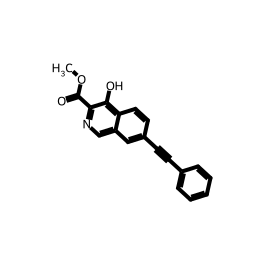 COC(=O)c1ncc2cc(C#Cc3ccccc3)ccc2c1O